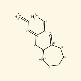 C=C/C=C(\C=C/C)CC1NCCCCC1=O